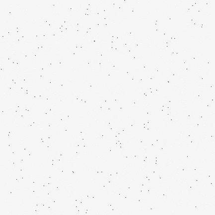 CCCCCc1cc(OCOC)c(CC=C(C)CCC=C(C)C)c2c1C(=O)OCO2